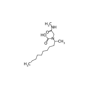 CCCCCCCCCC(C)N(CC(=O)NC)C(=O)O